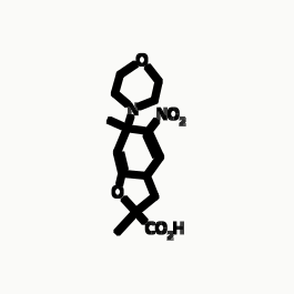 CC1(C(=O)O)CC2C=C([N+](=O)[O-])C(C)(N3CCOCC3)C=C2O1